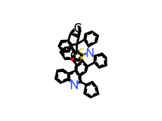 c1ccc(-c2nc3ccccc3c3c2cc(-c2ccccc2N2c4ccccc4C4(c5ccccc5-c5ccccc54)c4ccccc42)c2sc4ccccc4c23)cc1